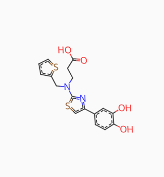 O=C(O)CCN(Cc1cccs1)c1nc(-c2ccc(O)c(O)c2)cs1